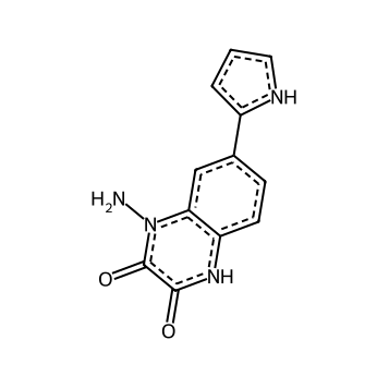 Nn1c(=O)c(=O)[nH]c2ccc(-c3ccc[nH]3)cc21